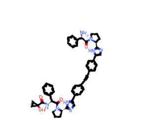 N[C@@H](C(=O)N1CCC[C@H]1c1ncc(-c2ccc(C#Cc3ccc(-c4cnc([C@@H]5CCCN5C(=O)[C@H](NC(=O)C5(O)CC5)c5ccccc5)[nH]4)cc3)cc2)[nH]1)c1ccccc1